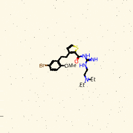 CCN(CC)CCNC(=N)NC(=O)c1sccc1CCc1cc(Br)ccc1OC